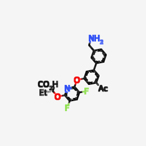 CC[C@@H](Oc1nc(Oc2cc(C(C)=O)cc(-c3cccc(CN)c3)c2)c(F)cc1F)C(=O)O